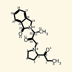 CCC(=O)C1CCCN1CC(=O)[C@H](C)N1Cc2ccccc2C1=O